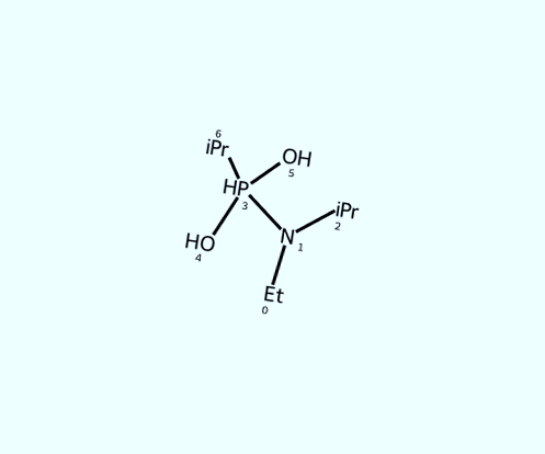 CCN(C(C)C)[PH](O)(O)C(C)C